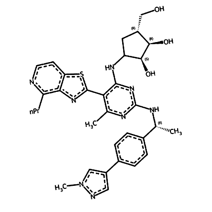 CCCc1nccc2sc(-c3c(C)nc(N[C@H](C)c4ccc(-c5cnn(C)c5)cc4)nc3NC3C[C@H](CO)[C@@H](O)[C@H]3O)nc12